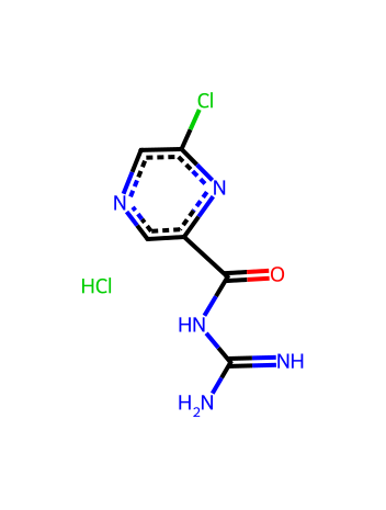 Cl.N=C(N)NC(=O)c1cncc(Cl)n1